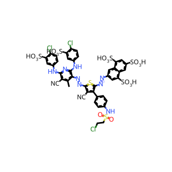 Cc1c(C#N)c(Nc2ccc(Cl)c(S(=O)(=O)O)c2)nc(Nc2ccc(Cl)c(S(=O)(=O)O)c2)c1N=Nc1sc(/N=N/c2cc(S(=O)(=O)O)c3cc(S(=O)(=O)O)cc(S(=O)(=O)O)c3c2)c(-c2ccc(NS(=O)(=O)CCCl)cc2)c1C#N